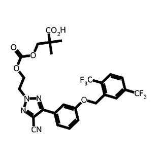 CC(C)(COC(=O)OCCn1nc(C#N)c(-c2cccc(OCc3cc(C(F)(F)F)ccc3C(F)(F)F)c2)n1)C(=O)O